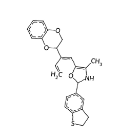 C=C/C(=C\C1=C(C)NC(c2ccc3c(c2)CCS3)O1)C1COc2ccccc2O1